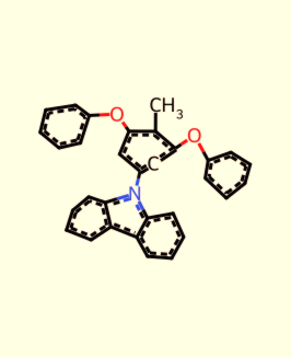 Cc1c(Oc2ccccc2)cc(-n2c3ccccc3c3ccccc32)cc1Oc1ccccc1